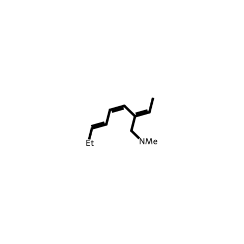 C\C=C(/C=C\C=C\CC)CNC